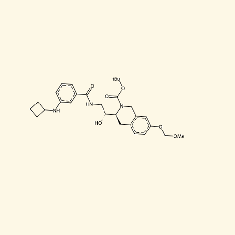 COCOc1ccc2c(c1)CN(C(=O)OC(C)(C)C)[C@H]([C@H](O)CNC(=O)c1cccc(NC3CCC3)c1)C2